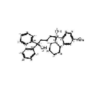 CC(C)(C)c1ccc([C@](O)(CCCC(O)(c2ccccc2)c2ccccc2)N2CCCCC2)cc1